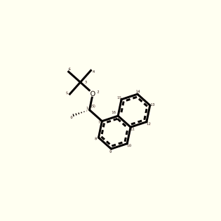 C[C@H](OC(C)(C)C)c1cccc2ccccc12